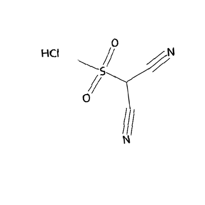 CS(=O)(=O)C(C#N)C#N.Cl